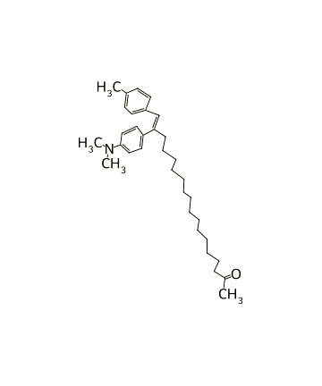 CC(=O)CCCCCCCCCCCCCCC(=Cc1ccc(C)cc1)c1ccc(N(C)C)cc1